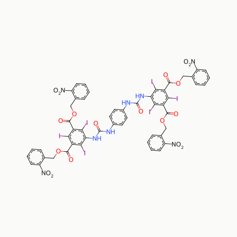 O=C(Nc1ccc(NC(=O)Nc2c(I)c(C(=O)OCc3ccccc3[N+](=O)[O-])c(I)c(C(=O)OCc3ccccc3[N+](=O)[O-])c2I)cc1)Nc1c(I)c(C(=O)OCc2ccccc2[N+](=O)[O-])c(I)c(C(=O)OCc2ccccc2[N+](=O)[O-])c1I